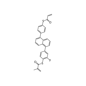 C=CC(=O)Sc1ccc(-c2cccc3c(-c4ccc(SC(=O)C(=C)C)c(F)c4)cccc23)cc1